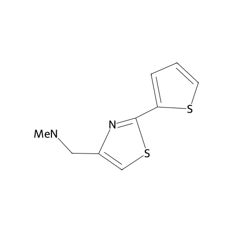 CNCc1csc(-c2cccs2)n1